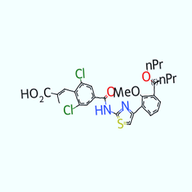 CCCO[C@@H](CCC)c1cccc(-c2csc(NC(=O)c3cc(Cl)c(C=C(C)C(=O)O)c(Cl)c3)n2)c1OC